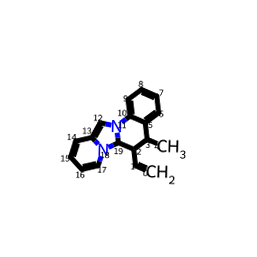 C=CC1C(C)c2ccccc2N2C=C3C=CC=CN3C12